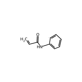 C=CC(=O)Nc1[c]cccc1